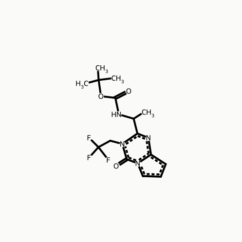 CC(NC(=O)OC(C)(C)C)c1nc2cccn2c(=O)n1CC(F)(F)F